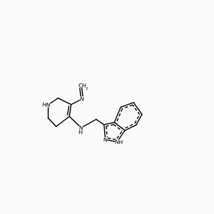 C=NC1=C(NCc2n[nH]c3ccccc23)CCNC1